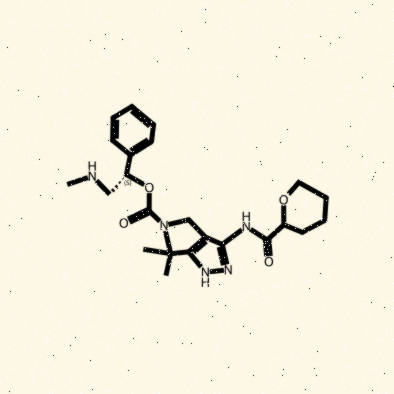 CNC[C@@H](OC(=O)N1Cc2c(NC(=O)C3CCCCO3)n[nH]c2C1(C)C)c1ccccc1